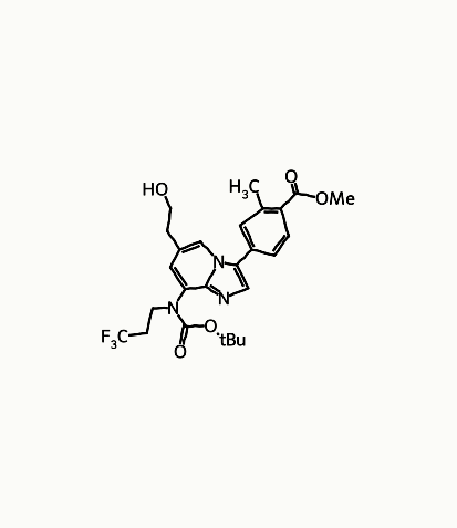 COC(=O)c1ccc(-c2cnc3c(N(CCC(F)(F)F)C(=O)OC(C)(C)C)cc(CCO)cn23)cc1C